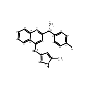 Cc1cc(Nc2cc([C@H](N)c3ccc(F)cc3)nc3ccccc23)n[nH]1